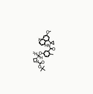 [2H]C([2H])(Oc1ccc(C)c(C(=O)NC2(c3cc(OC)cc4ncccc34)CC2)c1)[C@@H]1CCN1C(=O)OC(C)(C)C